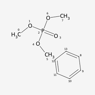 COP(=O)(OC)OC.c1ccccc1